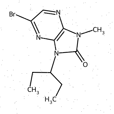 CCC(CC)n1c(=O)n(C)c2ncc(Br)nc21